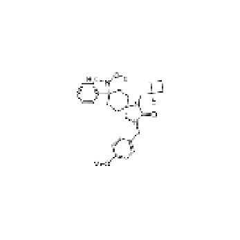 COc1ccc(CN2C[C@]3(CC[C@@](c4ccccc4)(N(C)C)CC3)N(CC3(F)CCC3)C2=O)cc1